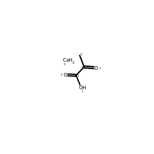 CC(=O)C(=O)O.[CaH2]